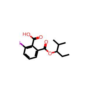 CCC(OC(=O)c1cccc(I)c1C(=O)O)C(C)C